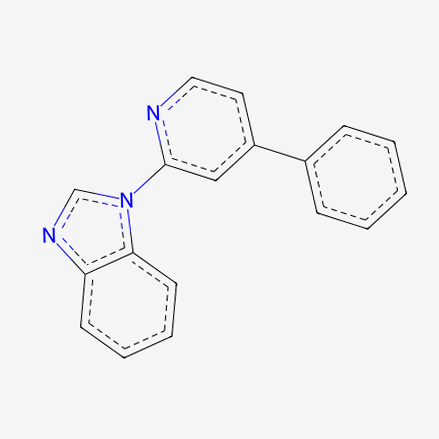 c1ccc(-c2ccnc(-n3cnc4ccccc43)c2)cc1